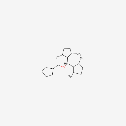 CC1CCC(C)C1[SiH](OCC1CCCC1)C1C(C)CCC1C